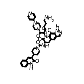 Cc1cc(CC(NC(=O)N2CCC(c3cc4ccccc4[nH]c3=O)CC2)C(=O)NC(CCCCN)C(=O)N2CCN(c3ccncc3)CC2)cc2cn[nH]c12